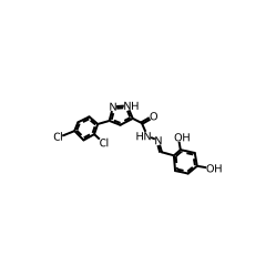 O=C(N/N=C/c1ccc(O)cc1O)c1cc(-c2ccc(Cl)cc2Cl)n[nH]1